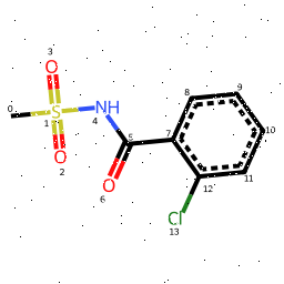 CS(=O)(=O)NC(=O)c1ccccc1Cl